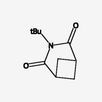 CC(C)(C)N1C(=O)C2CC(C2)C1=O